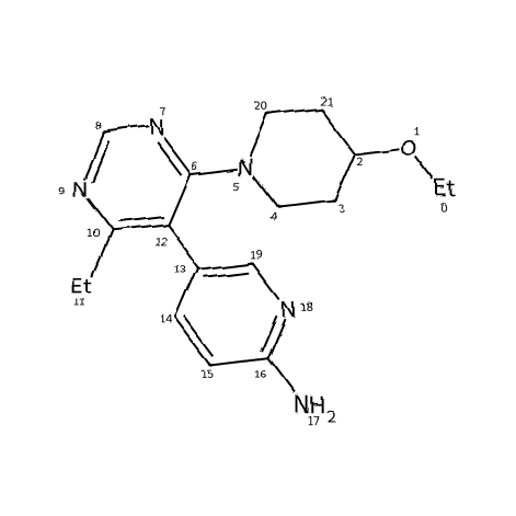 CCOC1CCN(c2ncnc(CC)c2-c2ccc(N)nc2)CC1